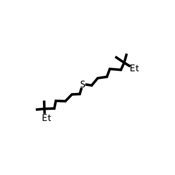 CCC(C)(C)CCCCCSCCCCCC(C)(C)CC